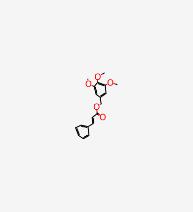 COc1cc(COC(=O)C=Cc2ccccc2)cc(OC)c1OC